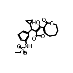 CCS(=O)(=O)Nc1cccc(C(c2c(O)c3c(oc2=O)CCCCCC3=O)C2CC2)c1